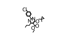 CCCc1nc(-c2ccc(Cl)cc2)nc(OCC2(C)CC2)c1C(=O)OCC